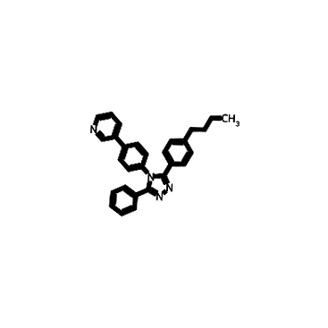 CCCCc1ccc(-c2nnc(-c3ccccc3)n2-c2ccc(-c3cccnc3)cc2)cc1